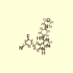 N#Cc1cc(F)cc(-c2ccc3[nH]c4ncnc(NC5CCC(N6CCOCC6)CC5)c4c3c2)c1